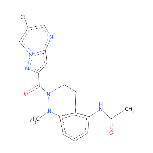 CC(=O)Nc1cccc2c1CCN(C(=O)c1cc3ncc(Cl)cn3n1)N2C